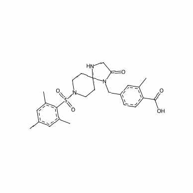 Cc1cc(C)c(S(=O)(=O)N2CCC3(CC2)NCC(=O)N3Cc2ccc(C(=O)O)c(C)c2)c(C)c1